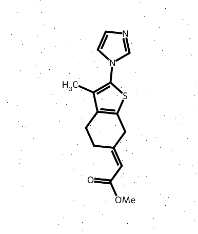 COC(=O)C=C1CCc2c(sc(-n3ccnc3)c2C)C1